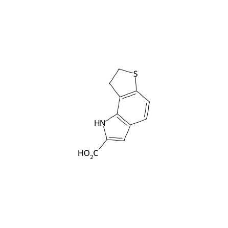 O=C(O)c1cc2ccc3c(c2[nH]1)CCS3